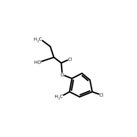 CCC(O)C(Cl)Oc1ccc(Cl)cc1C